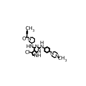 CC#CC(=O)N1CCC[C@@H](Nc2nc(Nc3ccc(N4CCN(C)CC4)cc3)nc3[nH]cc(Cl)c23)C1